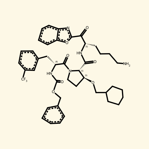 NCCCC[C@H](NC(=O)[C@@H]1[C@@H](OCC2CCCCC2)CCN1C(=O)[C@@H](Cc1cccc(C(F)(F)F)c1)NC(=O)OCc1ccccc1)C(=O)c1nc2ccccc2o1